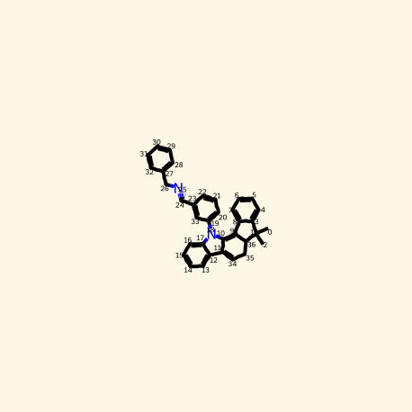 CC1(C)c2ccccc2C2=c3c(c4ccccc4n3-c3cccc(/C=N/Cc4ccccc4)c3)=CCC21